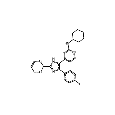 Fc1ccc(-c2nc(C3OC=CCO3)[nH]c2-c2ccnc(NC3CCCCC3)n2)cc1